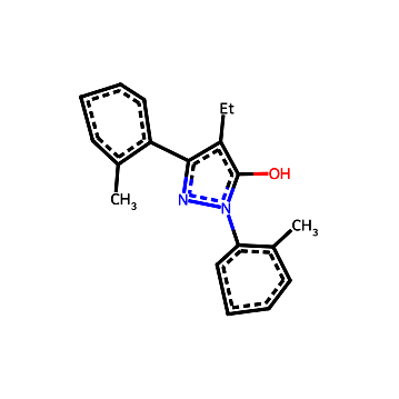 CCc1c(-c2ccccc2C)nn(-c2ccccc2C)c1O